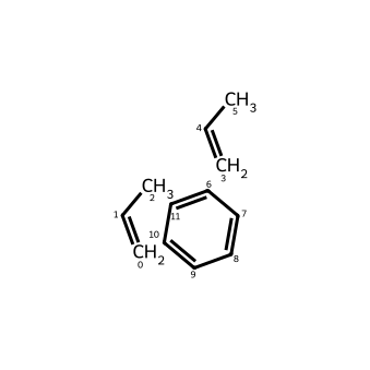 C=CC.C=CC.c1ccccc1